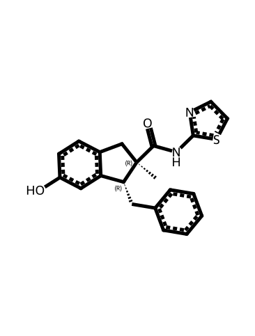 C[C@@]1(C(=O)Nc2nccs2)Cc2ccc(O)cc2[C@H]1Cc1ccccc1